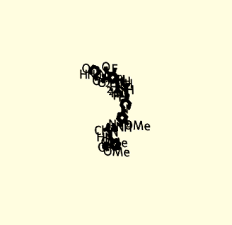 [2H]C1([2H])N(CC2CCN(c3ccc(Nc4ncc(Cl)c(Nc5ccccc5P(=O)(OC)OC)n4)c(OC)c3)CC2)C([2H])([2H])C([2H])([2H])N(c2cc(F)c3c(c2)C(=O)N(C2CCC(=O)NC2=O)C3=O)C1([2H])[2H]